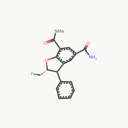 CNC(=O)c1cc(C(N)=O)cc2c1O[C@@H](CF)C2c1ccccc1